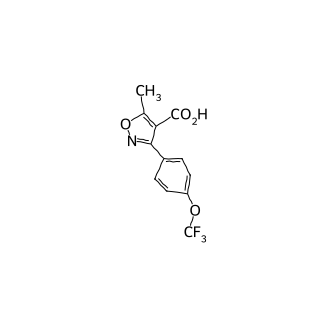 Cc1onc(-c2ccc(OC(F)(F)F)cc2)c1C(=O)O